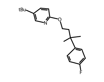 CC(C)(C)c1ccc(OCCC(C)(C)c2ccc(F)cc2)nc1